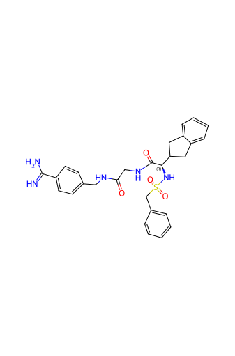 N=C(N)c1ccc(CNC(=O)CNC(=O)[C@H](NS(=O)(=O)Cc2ccccc2)C2Cc3ccccc3C2)cc1